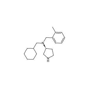 Cc1ccccc1CN(CC1CCCCC1)[C@H]1CCNC1